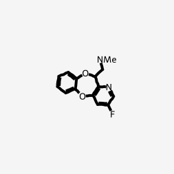 CNCC1Oc2ccccc2Oc2cc(F)cnc21